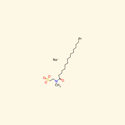 CC(C)CCCCCCCCCCCCCCC(=O)N(C)CCS(=O)(=O)[O-].[Na+]